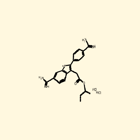 CCC(C)OC(=O)Cc1c(-c2ccc(C(=N)N)cc2)[nH]c2cc(C(=N)N)ccc12.Cl.Cl